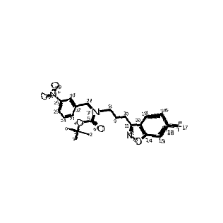 CC(C)(C)OC(=O)N(CCCc1noc2cc(F)ccc12)Cc1cccc([N+](=O)[O-])c1